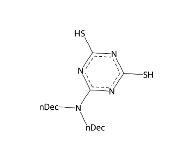 CCCCCCCCCCN(CCCCCCCCCC)c1nc(S)nc(S)n1